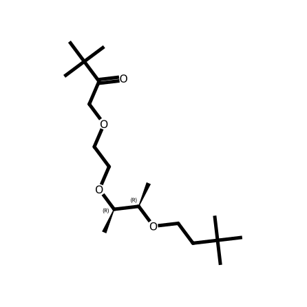 C[C@@H](OCCOCC(=O)C(C)(C)C)[C@@H](C)OCCC(C)(C)C